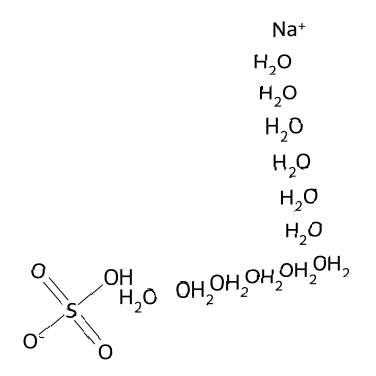 O.O.O.O.O.O.O.O.O.O.O.O.O=S(=O)([O-])O.[Na+]